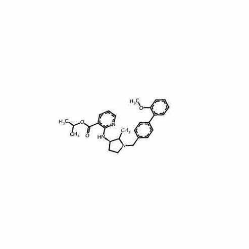 COc1ccccc1-c1ccc(CN2CC[C@@H](Nc3ncccc3C(=O)OC(C)C)C2C)cc1